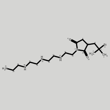 CCC(C)(C)CC1CC(=O)N(CCNCCNCCNCCN)C1=O